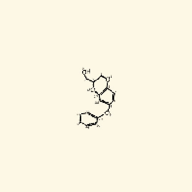 OCC1COc2ccc(Oc3ccccc3)cc2O1